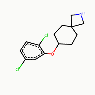 Clc1ccc(Cl)c(OC2CCC3(CC2)CNC3)c1